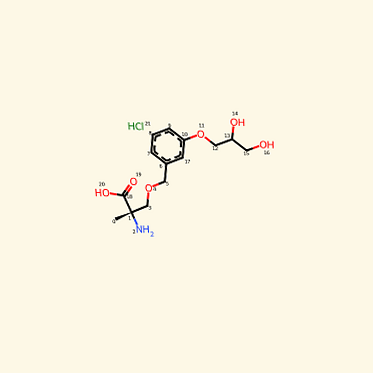 C[C@](N)(COCc1cccc(OCC(O)CO)c1)C(=O)O.Cl